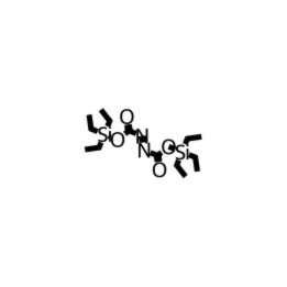 CC[Si](CC)(CC)OC(=O)/N=N/C(=O)O[Si](CC)(CC)CC